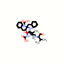 CC(C)C(C=O)NCCCC[C@@H](Cc1ccccc1)C(Cc1ccccc1)(NC(=O)O)N[C@H](C(=O)NC(=O)O)C(C)C